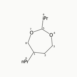 [CH2]CCC1CCOC(C(C)C)OC1